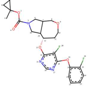 CC1(OC(=O)N2CC3COCC[C@H](Oc4ncnc(Oc5ccccc5F)c4F)C3C2)CC1